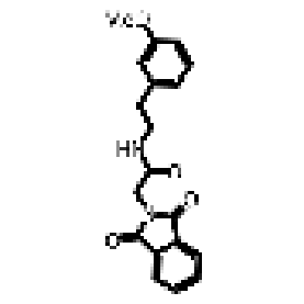 COc1cccc(CCNC(=O)CN2C(=O)c3ccccc3C2=O)c1